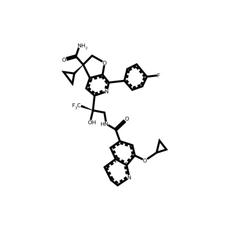 NC(=O)[C@]1(C2CC2)COc2c1cc([C@@](O)(CNC(=O)c1cc(OC3CC3)c3ncccc3c1)C(F)(F)F)nc2-c1ccc(F)cc1